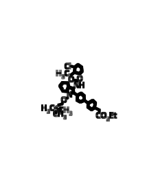 CCOC(=O)Cc1ccc(-c2ccc(-c3c(NC(=O)O[C@H](C)c4ccccc4Cl)c4ccccc4n3COCC[Si](C)(C)C)cc2)cc1